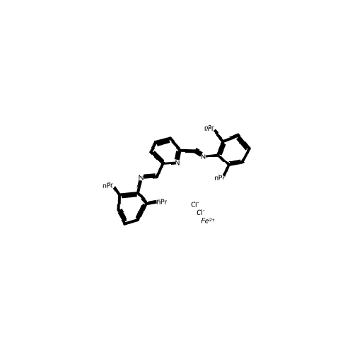 CCCc1cccc(CCC)c1N=Cc1cccc(C=Nc2c(CCC)cccc2CCC)n1.[Cl-].[Cl-].[Fe+2]